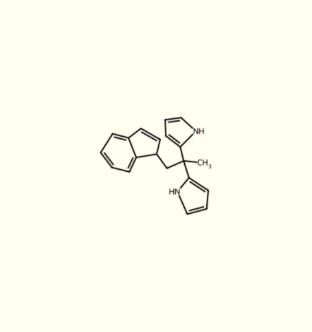 CC(CC1C=Cc2ccccc21)(c1ccc[nH]1)c1ccc[nH]1